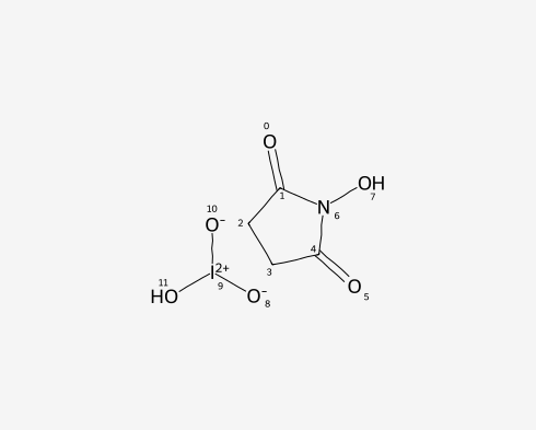 O=C1CCC(=O)N1O.[O-][I+2]([O-])O